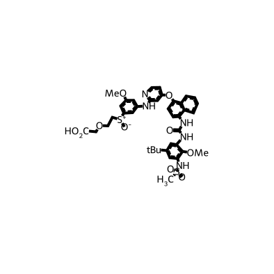 COc1cc(Nc2cc(Oc3ccc(NC(=O)Nc4cc(C(C)(C)C)cc(NS(C)(=O)=O)c4OC)c4ccccc34)ccn2)cc([S+]([O-])CCOCC(=O)O)c1